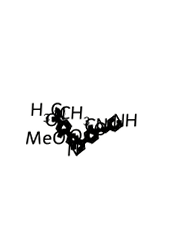 COc1cc(C(=O)N(C)C)ccc1-c1cc2nccc(-c3ccc(OCC4CCNCC4)c(C#N)c3)c2o1